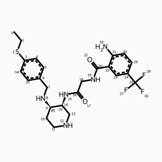 CCSc1ccc(CN[C@@H]2CCNC[C@@H]2NC(=O)CNC(=O)c2cc(C(F)(F)F)ccc2N)cc1